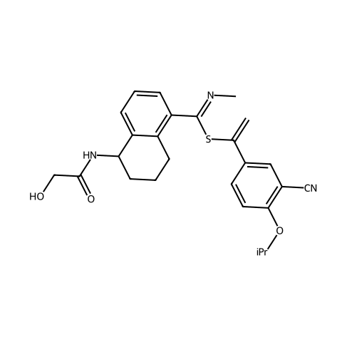 C=C(S/C(=N\C)c1cccc2c1CCCC2NC(=O)CO)c1ccc(OC(C)C)c(C#N)c1